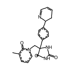 Cc1cccn(CC2(c3ccc(C4CC=CC=N4)cc3)NC(=O)NC2=O)c1=O